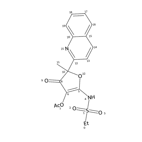 CCS(=O)(=O)NC1=C(OC(C)=O)C(=O)C(C)(c2ccc3ccccc3n2)O1